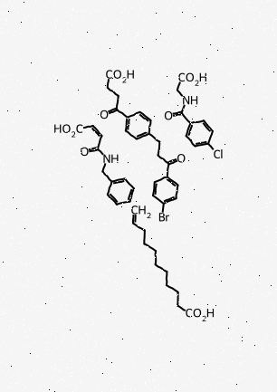 C=CCCCCCCCCC(=O)O.O=C(O)/C=C\C(=O)NCc1ccccc1.O=C(O)CCC(=O)c1ccc(CCC(=O)c2ccc(Br)cc2)cc1.O=C(O)CNC(=O)c1ccc(Cl)cc1